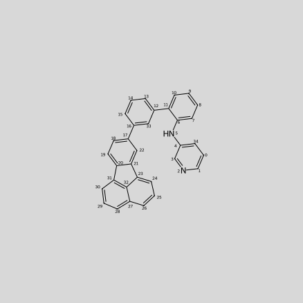 c1cncc(Nc2ccccc2-c2cccc(-c3ccc4c(c3)-c3cccc5cccc-4c35)c2)c1